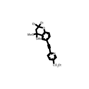 CCOC(=O)c1ccc(C#Cc2ccc3c(c2)C(SC)(SC)CC(CC)(CC)O3)nc1